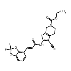 CCOC(=O)N1CCc2c(sc(NC(=O)C=Cc3cccc4c3OC(F)(F)O4)c2C#N)C1